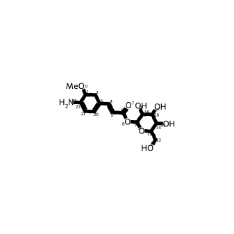 COC1CC(/C=C/C(=O)OC2OC(CO)C(O)C(O)C2O)=CC=C1N